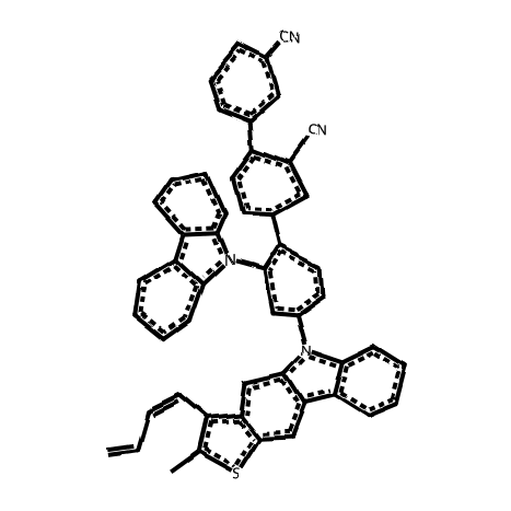 C=C/C=C\c1c(C)sc2cc3c4ccccc4n(-c4ccc(-c5ccc(-c6cccc(C#N)c6)c(C#N)c5)c(-n5c6ccccc6c6ccccc65)c4)c3cc12